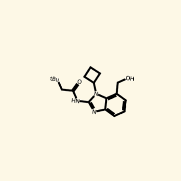 CC(C)(C)CC(=O)Nc1nc2cccc(CO)c2n1C1CCC1